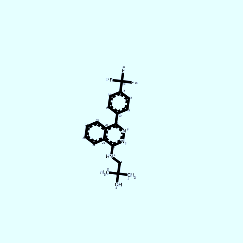 CC(C)(O)CNc1nnc(-c2ccc(C(F)(F)F)cc2)c2ccccc12